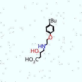 CC(C)(C)c1ccc(OCCNC[C@@H](O)CC(=O)O)cc1